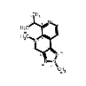 CC(C)c1nccc2c1N(C)Cc1nn(C)nc1-2